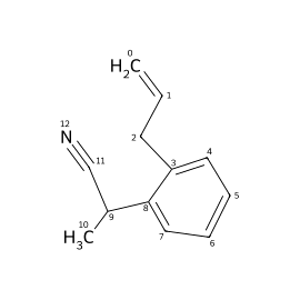 C=CCc1ccccc1C(C)C#N